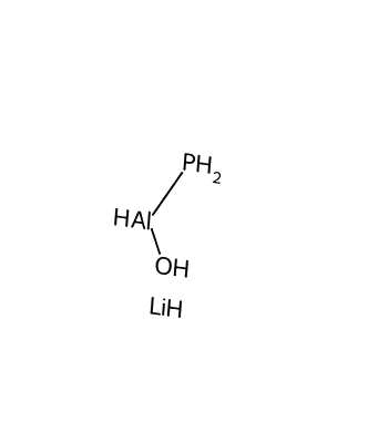 [LiH].[OH][AlH][PH2]